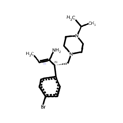 C/C=C(\N)[C@H](CN1CCN(C(C)C)CC1)c1ccc(Br)cc1